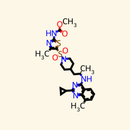 COC(=O)Nc1nc(C)c(S(=O)(=O)N2CCC(C[C@H](C)Nc3nc(C4CC4)nc4c(C)cccc34)CC2)s1